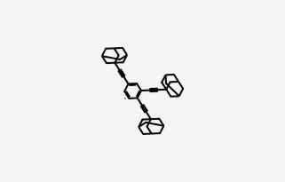 C(#CC12CC3CC(CC(C3)C1)C2)c1c[c]c(C#CC23CC4CC(CC(C4)C2)C3)c(C#CC23CC4CC(CC(C4)C2)C3)c1